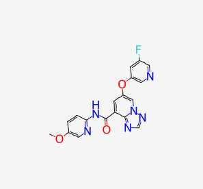 COc1ccc(NC(=O)c2cc(Oc3cncc(F)c3)cn3ncnc23)nc1